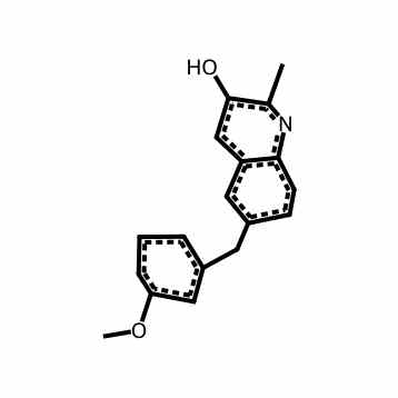 COc1cccc(Cc2ccc3nc(C)c(O)cc3c2)c1